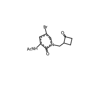 CC(=O)Nc1cc(Br)cn(CC2CCC2=O)c1=O